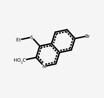 CCSc1c(C(=O)O)ncc2cc(Br)ccc12